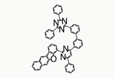 c1ccc(-c2cc(-c3cccc(-c4cccc(-c5nc(-c6ccccc6)nc(-c6ccccc6)n5)c4)c3)nc(-c3cccc4c3oc3cc5ccccc5cc34)n2)cc1